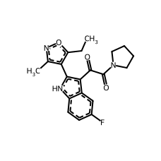 CCc1onc(C)c1-c1[nH]c2ccc(F)cc2c1C(=O)C(=O)N1CCCC1